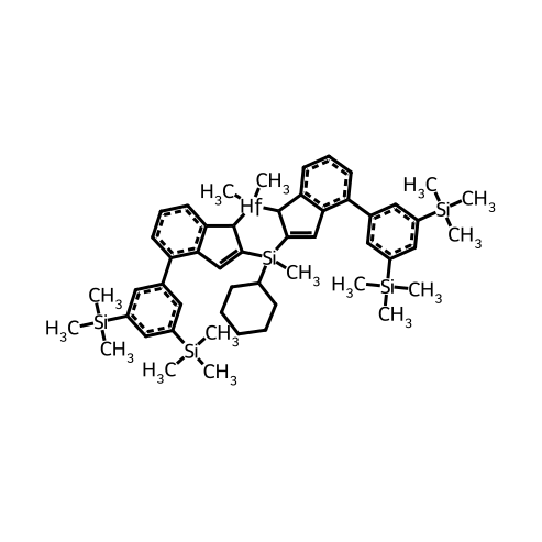 C[Si](C)(C)c1cc(-c2cccc3c2C=C2[CH]3[Hf]([CH3])([CH3])[CH]3C(=Cc4c(-c5cc([Si](C)(C)C)cc([Si](C)(C)C)c5)cccc43)[Si]2(C)C2CCCCC2)cc([Si](C)(C)C)c1